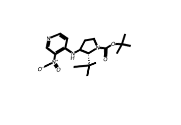 CC(C)(C)OC(=O)N1CCC(Nc2ccncc2[N+](=O)[O-])[C@H]1C(C)(C)C